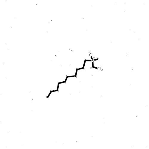 CCCCCCCCCC[Si](C)(Cl)CCl